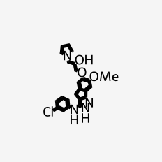 COc1cc2c(cc1OCC(O)CN1CCCC1)Cc1c-2n[nH]c1Nc1cccc(Cl)c1